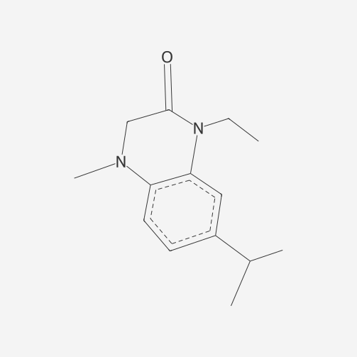 CCN1C(=O)CN(C)c2ccc(C(C)C)cc21